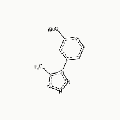 CC(C)COc1cccc(-n2nnnc2C(F)(F)F)c1